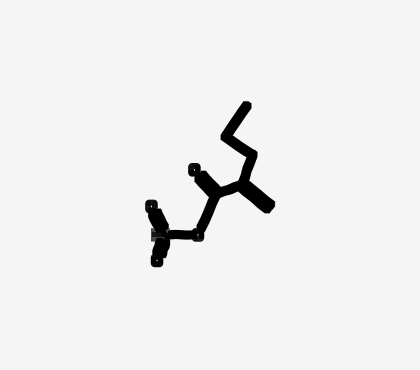 C=C(CCC)C(=O)O[SH](=O)=O